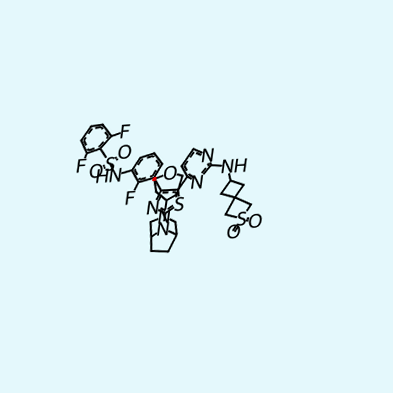 O=S1(=O)CC2(CC(Nc3nccc(-c4sc(N5C6CCC5CN(C5CCOCC5)C6)nc4-c4cccc(NS(=O)(=O)c5c(F)cccc5F)c4F)n3)C2)C1